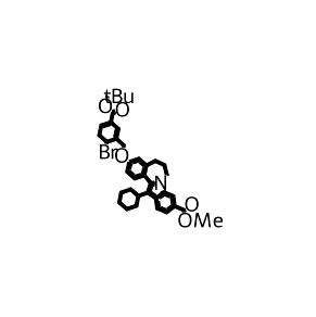 COC(=O)c1ccc2c(C3CCCCC3)c3n(c2c1)CCCc1cc(OCC2=CC(C(=O)OC(C)(C)C)=CCC2Br)ccc1-3